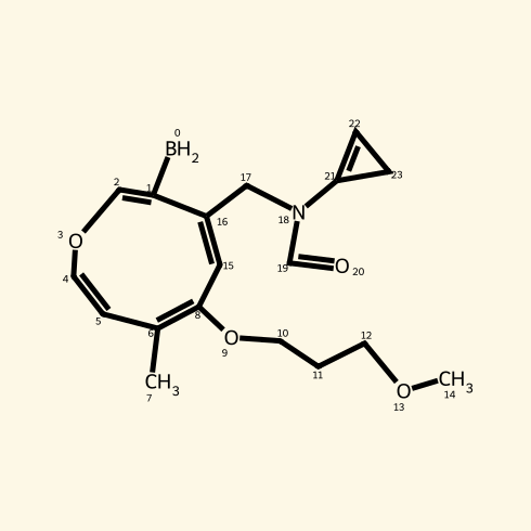 Bc1coccc(C)c(OCCCOC)cc1CN(C=O)C1=CC1